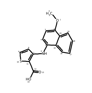 COc1ccc(Nc2ccsc2C(=O)O)c2ccccc12